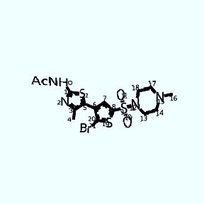 CC(=O)Nc1nc(C)c(-c2cc(S(=O)(=O)N3CCN(C)CC3)sc2Br)s1